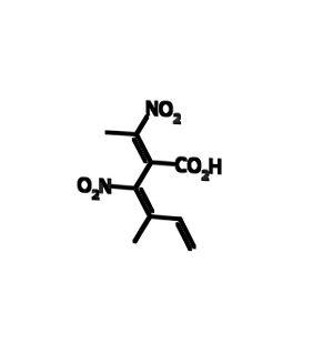 C=C/C(C)=C(\C(C(=O)O)=C(/C)[N+](=O)[O-])[N+](=O)[O-]